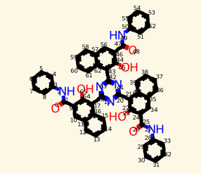 O=C(Nc1ccccc1)c1cc2ccccc2c(-c2nc(-c3c(O)c(C(=O)Nc4ccccc4)cc4ccccc34)nc(-c3c(O)c(C(=O)Nc4ccccc4)cc4ccccc34)n2)c1O